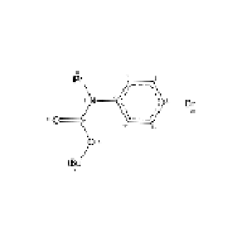 CC(C)N(C(=O)OC(C)(C)C)c1ccc(Br)cc1